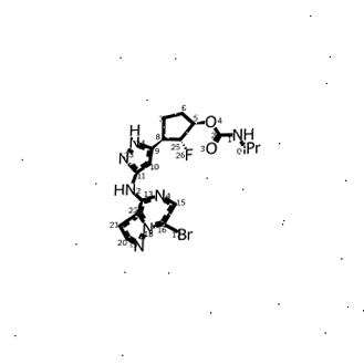 CC(C)NC(=O)O[C@@H]1CC[C@H](c2cc(Nc3ncc(Br)n4nccc34)n[nH]2)[C@H]1F